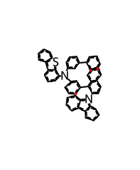 c1ccc(-c2cccc(N(c3cccc(-c4c(-n5c6ccccc6c6ccccc65)ccc5ccccc45)c3)c3cccc4c3sc3ccccc34)c2)cc1